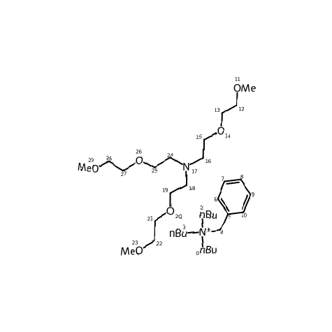 CCCC[N+](CCCC)(CCCC)Cc1ccccc1.COCCOCCN(CCOCCOC)CCOCCOC